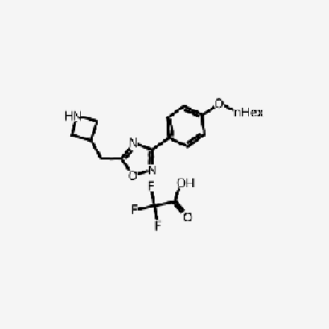 CCCCCCOc1ccc(-c2noc(CC3CNC3)n2)cc1.O=C(O)C(F)(F)F